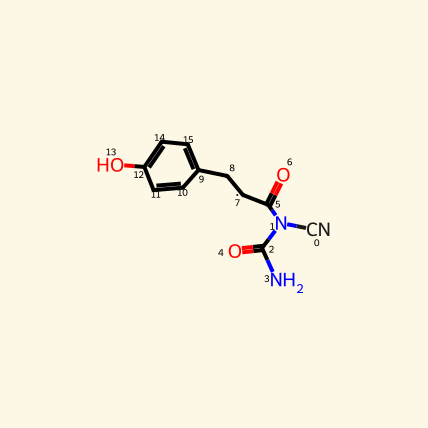 N#CN(C(N)=O)C(=O)[CH]Cc1ccc(O)cc1